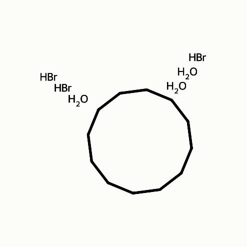 Br.Br.Br.C1CCCCCCCCCCC1.O.O.O